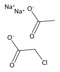 CC(=O)[O-].O=C([O-])CCl.[Na+].[Na+]